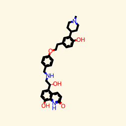 CN1CCC(c2cc(CCOc3ccc(CNC[C@H](O)c4ccc(O)c5[nH]c(=O)ccc45)cc3)ccc2O)CC1